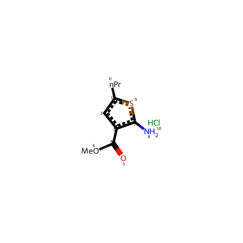 CCCc1cc(C(=O)OC)c(N)s1.Cl